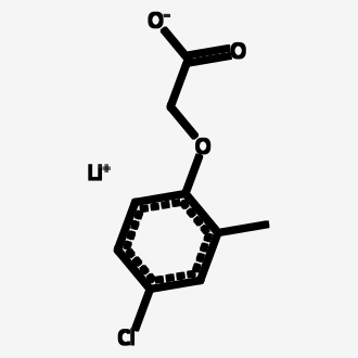 Cc1cc(Cl)ccc1OCC(=O)[O-].[Li+]